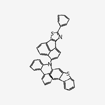 c1ccc(-c2nc3c(s2)-c2cccc4c(N(c5ccc6c(c5)sc5ccccc56)c5ccccc5-c5ccccc5)ccc-3c24)cc1